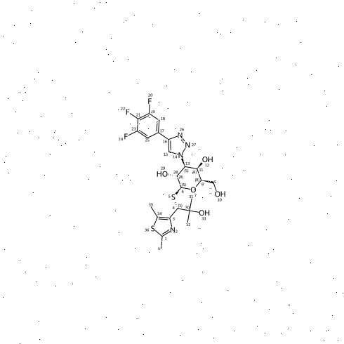 Cc1nc([C@H](S[C@@H]2O[C@H](CO)[C@H](O)[C@H](n3cc(-c4cc(F)c(F)c(F)c4)nn3)[C@H]2O)C(C)(C)O)c(C)s1